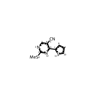 CSc1ncc(C#N)c(-c2cccs2)n1